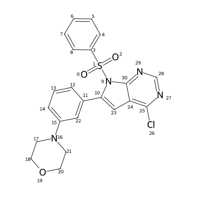 O=S(=O)(c1ccccc1)n1c(-c2cccc(N3CCOCC3)c2)cc2c(Cl)ncnc21